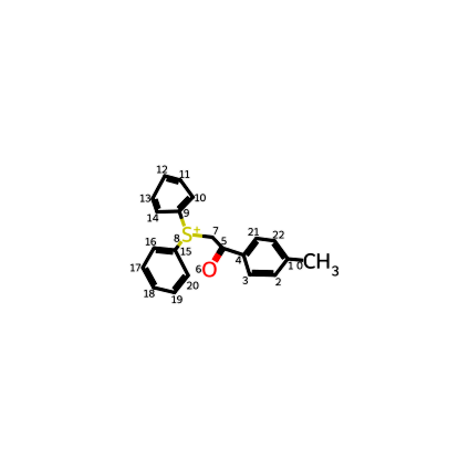 Cc1ccc(C(=O)C[S+](c2ccccc2)c2ccccc2)cc1